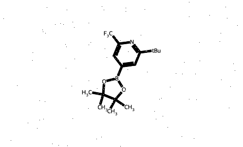 CC(C)(C)c1cc(B2OC(C)(C)C(C)(C)O2)cc(C(F)(F)F)n1